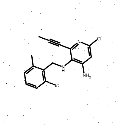 CC#Cc1nc(Cl)cc(N)c1NCc1c(C)cccc1CC